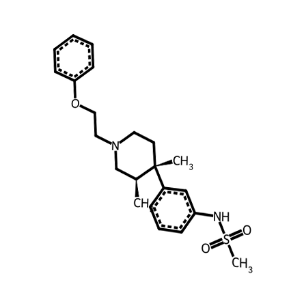 C[C@H]1CN(CCOc2ccccc2)CC[C@]1(C)c1cccc(NS(C)(=O)=O)c1